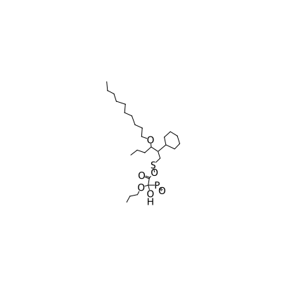 CCCCCCCCCCOC(CCC)C(CSOC(=O)C(O)(OCCC)P=O)C1CCCCC1